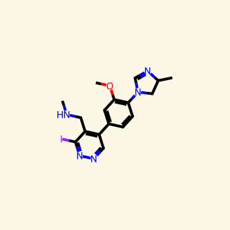 CNCc1c(-c2ccc(N3C=NC(C)C3)c(OC)c2)cnnc1I